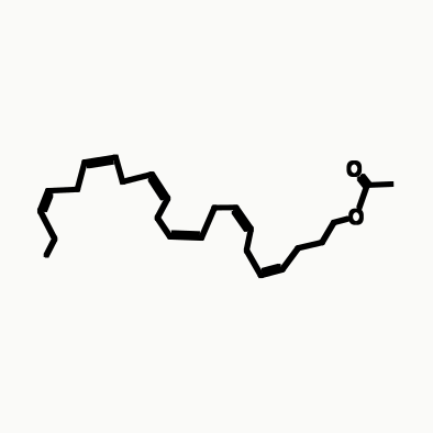 CC/C=C\C/C=C\C/C=C\C/C=C\C/C=C\C/C=C\CCCOC(C)=O